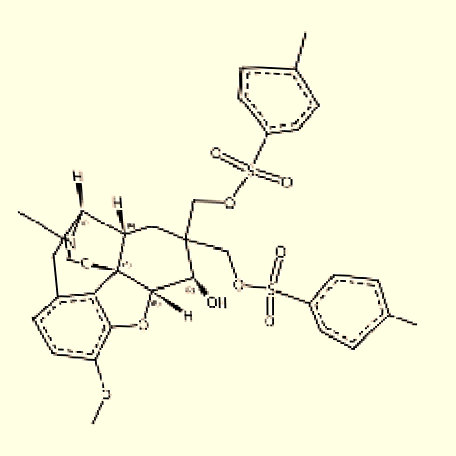 COc1ccc2c3c1O[C@H]1[C@H](O)C(COS(=O)(=O)c4ccc(C)cc4)(COS(=O)(=O)c4ccc(C)cc4)C[C@H]4[C@@H](C2)N(C)CC[C@@]341